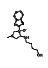 CN1CC(NCCCCO)[N+]([O-])(c2nc3ccccc3s2)C1